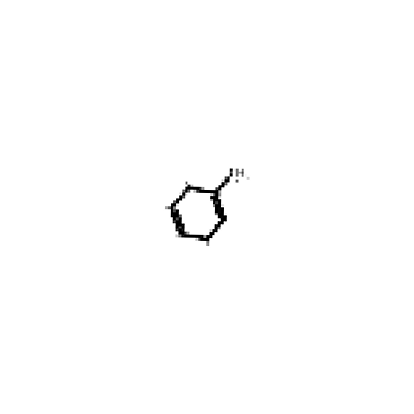 CC1=CCC=C[C]1